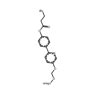 CCCCCCCOCOc1ccc(-c2ccc(OC(=O)CCC(C)CC)cc2)nc1